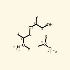 COC(C)COC(C)CO.C[S+](C)[O-].F.N